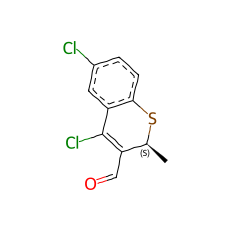 C[C@@H]1Sc2ccc(Cl)cc2C(Cl)=C1C=O